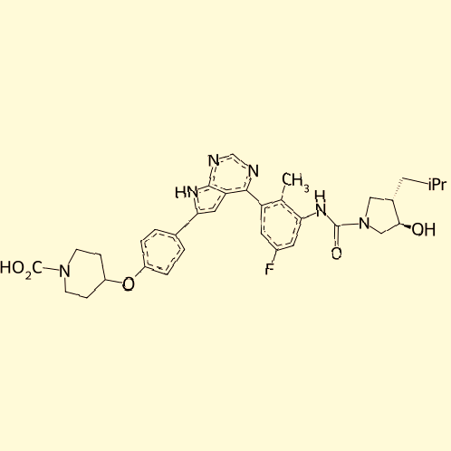 Cc1c(NC(=O)N2C[C@H](CC(C)C)[C@@H](O)C2)cc(F)cc1-c1ncnc2[nH]c(-c3ccc(OC4CCN(C(=O)O)CC4)cc3)cc12